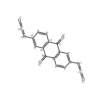 O=C=Nc1ccc2c(c1)C(=O)c1ccc(N=C=O)cc1C2=O